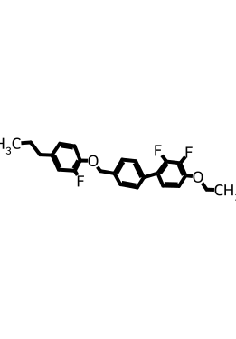 CCCc1ccc(OCc2ccc(-c3ccc(OCC)c(F)c3F)cc2)c(F)c1